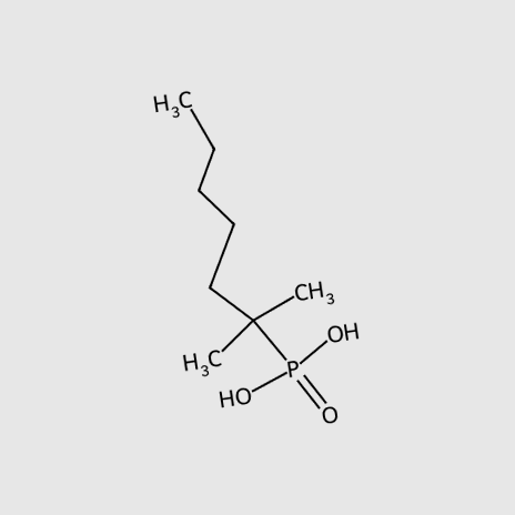 CCCCCC(C)(C)P(=O)(O)O